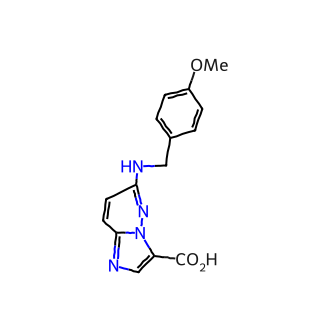 COc1ccc(CNc2ccc3ncc(C(=O)O)n3n2)cc1